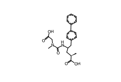 C[C@H](CC(Cc1ccc(-c2ccccc2)cc1)NC(=O)N(C)CC(=O)O)C(=O)O